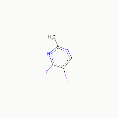 Cc1ncc(I)c(I)n1